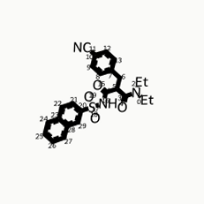 CCN(CC)C(=O)C(Cc1ccc(C#N)cc1)C(=O)NS(=O)(=O)c1ccc2ccccc2c1